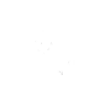 Cc1cc2c3c(ccc2c2cccnc12)C1CC2CC(C1)CC3C2